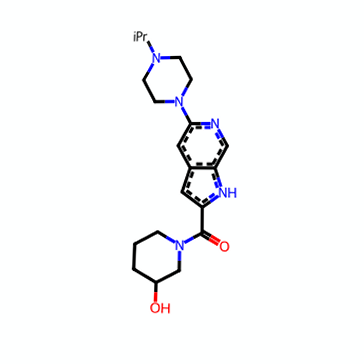 CC(C)N1CCN(c2cc3cc(C(=O)N4CCCC(O)C4)[nH]c3cn2)CC1